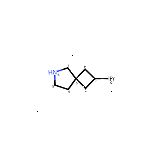 CC(C)C1CC2(CCNC2)C1